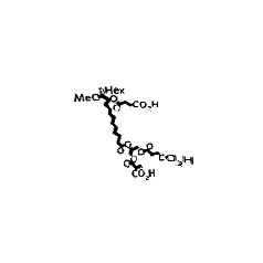 CCCCCCC(OC)C(CCCCCCCCCC(=O)OC(COC(=O)CCC(=O)O)COC(=O)C(C)C(=O)O)OC(=O)CCC(=O)O